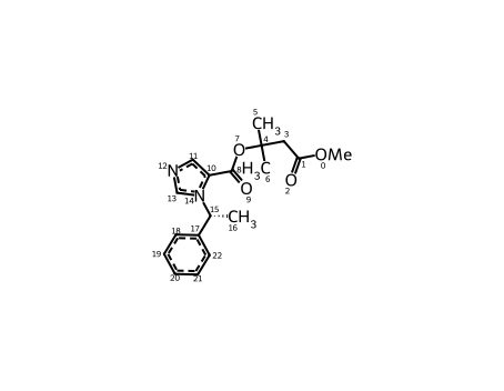 COC(=O)CC(C)(C)OC(=O)c1cncn1[C@H](C)c1ccccc1